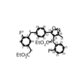 CCOC(=O)Cc1ccc(F)c(Cc2ccc(-c3onc(C)c3N(C(=O)OCC)c3ccccc3F)cc2)c1